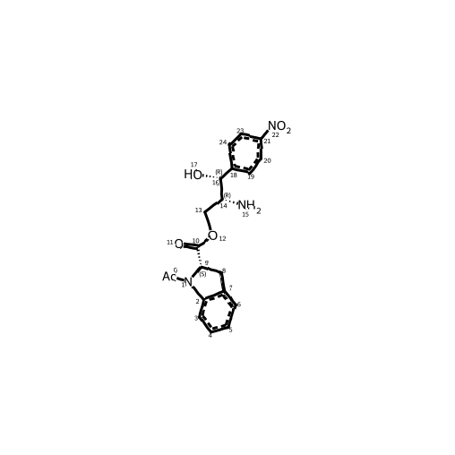 CC(=O)N1c2ccccc2C[C@H]1C(=O)OC[C@@H](N)[C@H](O)c1ccc([N+](=O)[O-])cc1